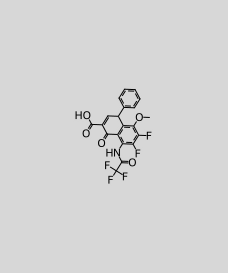 COc1c(F)c(F)c(NC(=O)C(F)(F)F)c2c1C(c1ccccc1)C=C(C(=O)O)C2=O